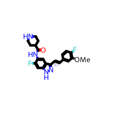 COc1cc(/C=C/c2n[nH]c3cc(F)c(NC(=O)C4CCNCC4)cc23)ccc1F